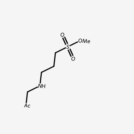 COS(=O)(=O)CCCNCC(C)=O